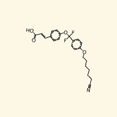 N#CCCCCCCOc1ccc(C(F)(F)Oc2ccc(/C=C/C(=O)O)cc2)cc1